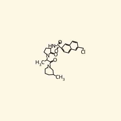 CC1CCCN(C(=O)C(C)N2CCC(NS(=O)(=O)c3ccc4cc(CCl)ccc4c3)C2=O)C1